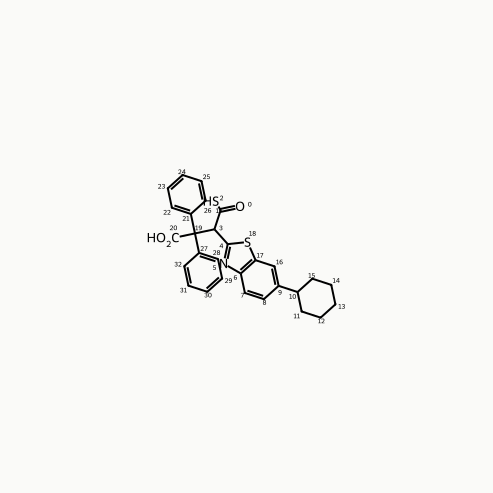 O=C(S)C(c1nc2ccc(C3CCCCC3)cc2s1)C(C(=O)O)(c1ccccc1)c1ccccc1